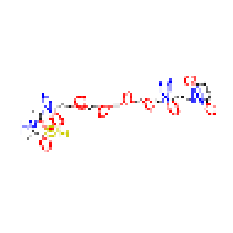 C[C@H](NC(=O)[C@H](C)NC(=O)CCOCCOCCOCCOCCNC(=O)CCN1C(=O)C=CC1=O)C(=O)S